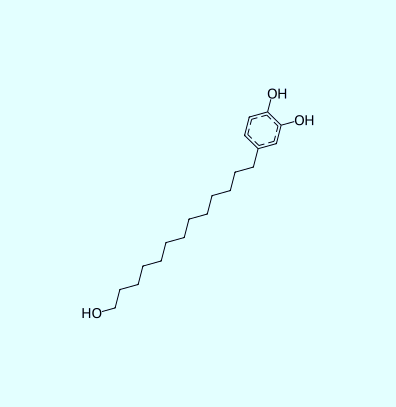 OCCCCCCCCCCCCCc1ccc(O)c(O)c1